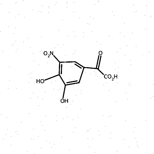 O=C(O)C(=O)c1cc(O)c(O)c([N+](=O)[O-])c1